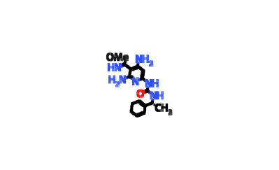 COC(=N)c1c(N)cc(NC(=O)N[C@H](C)C2=CCCC=C2)nc1N